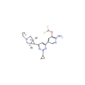 Nc1ncc(-c2cc(C3[C@H]4CN(CC(F)(F)F)C[C@@H]34)nc(C3CC3)n2)cc1OC(F)F